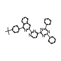 CC(C)(C)c1ccc(-c2nc(-c3nccc(-c4nc(-c5ccccc5)nc(-c5ccccc5)n4)n3)cc3ccccc23)cc1